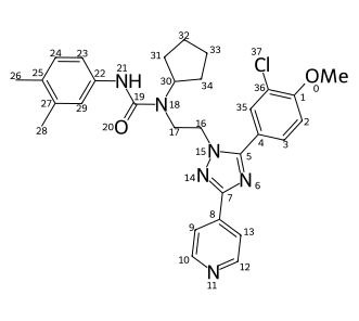 COc1ccc(-c2nc(-c3ccncc3)nn2CCN(C(=O)Nc2ccc(C)c(C)c2)C2CCCC2)cc1Cl